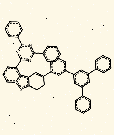 C1=C(c2cccc(-c3cc(-c4ccccc4)cc(-c4ccccc4)c3)c2)CCc2sc3cccc(-c4nc(-c5ccccc5)nc(-c5ccccc5)n4)c3c21